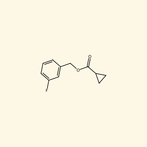 O=C(OCc1[c]ccc(F)c1)C1CC1